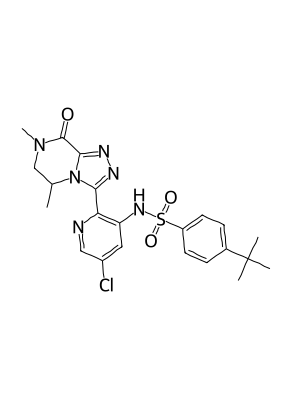 CC1CN(C)C(=O)c2nnc(-c3ncc(Cl)cc3NS(=O)(=O)c3ccc(C(C)(C)C)cc3)n21